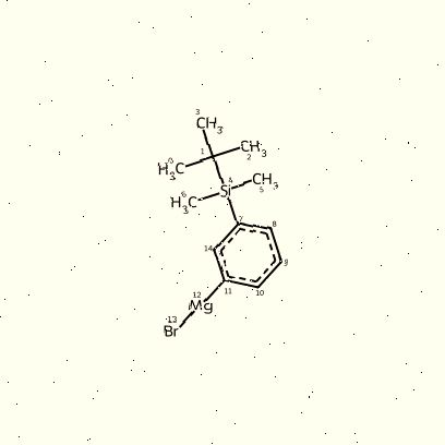 CC(C)(C)[Si](C)(C)c1ccc[c]([Mg][Br])c1